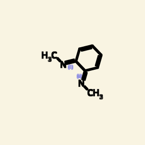 C/N=C1\C=CC=C\C1=N/C